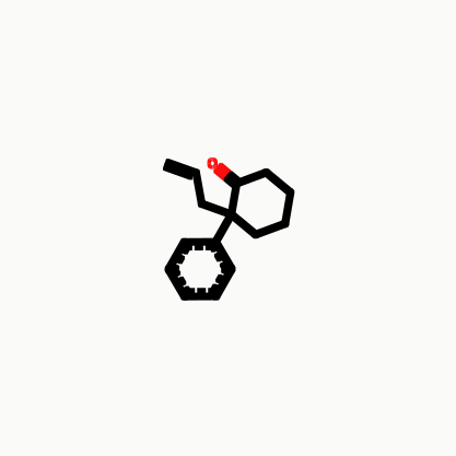 C=CCC1(c2ccccc2)CCCCC1=O